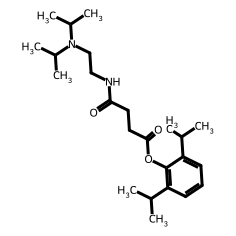 CC(C)c1cccc(C(C)C)c1OC(=O)CCC(=O)NCCN(C(C)C)C(C)C